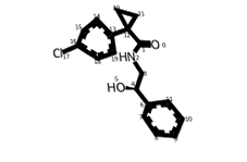 O=C(NC[C@H](O)c1ccccc1)C1(c2ccc(Cl)cc2)CC1